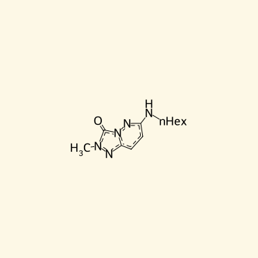 CCCCCCNc1ccc2nn(C)c(=O)n2n1